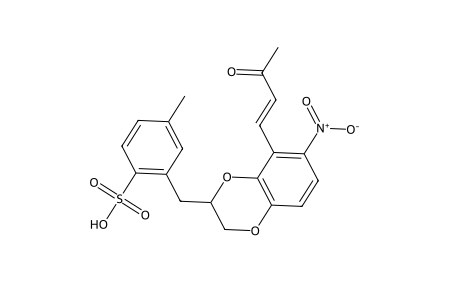 CC(=O)/C=C/c1c([N+](=O)[O-])ccc2c1OC(Cc1cc(C)ccc1S(=O)(=O)O)CO2